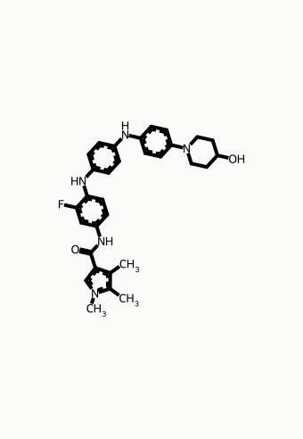 Cc1c(C(=O)Nc2ccc(Nc3ccc(Nc4ccc(N5CCC(O)CC5)cc4)cc3)c(F)c2)cn(C)c1C